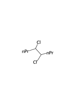 C[CH]CC(Cl)C(Cl)CCC